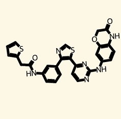 O=C(Cc1cccs1)Nc1cccc(-c2ncsc2-c2ccnc(Nc3ccc4c(c3)OCC(=O)N4)n2)c1